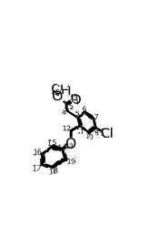 COC(=O)Cc1ccc(Cl)cc1COc1ccccc1